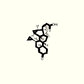 C[C@]12CC[C@H]3[C@H]([C@@H]1[C@H]1C[C@H]1[C@@]2(O)/C=C\C(=O)O)[C@H](C1CC1)CC1=CC(=O)CC[C@@H]13